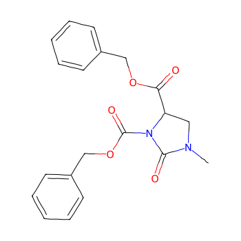 CN1CC(C(=O)OCc2ccccc2)N(C(=O)OCc2ccccc2)C1=O